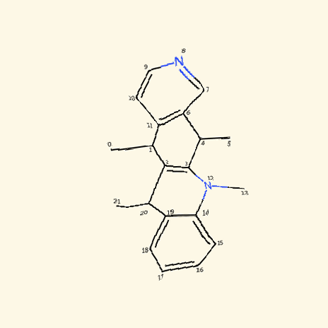 CC1C2=C(C(C)c3cnccc31)N(C)c1ccccc1C2C